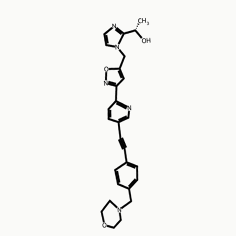 C[C@H](O)c1nccn1Cc1cc(-c2ccc(C#Cc3ccc(CN4CCOCC4)cc3)cn2)no1